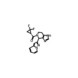 O=C([C@H]1CC1(F)F)N1CCc2[nH]cnc2C1c1cc2ccccn2n1